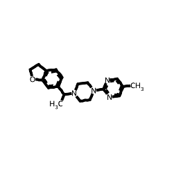 Cc1cnc(N2CCN(C(C)c3ccc4c(c3)OCC4)CC2)nc1